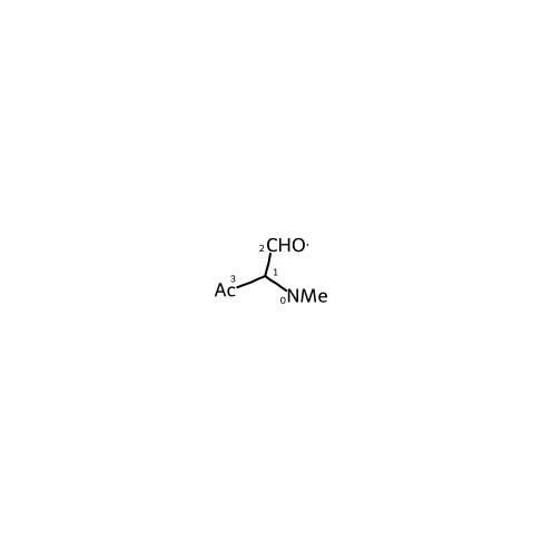 CNC([C]=O)C(C)=O